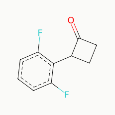 O=C1CCC1c1c(F)cccc1F